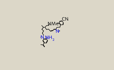 C=N/C(=C\C=C/CCC(CCNC)C(C)CCCCN(C)c1cc(C(=C)C)ccc1N)CCc1ccc(C#N)cc1C